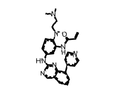 C=CC(=O)Nc1cc(Nc2ncc3cccc(-c4ccncc4)c3n2)ccc1N(C)CCN(C)C